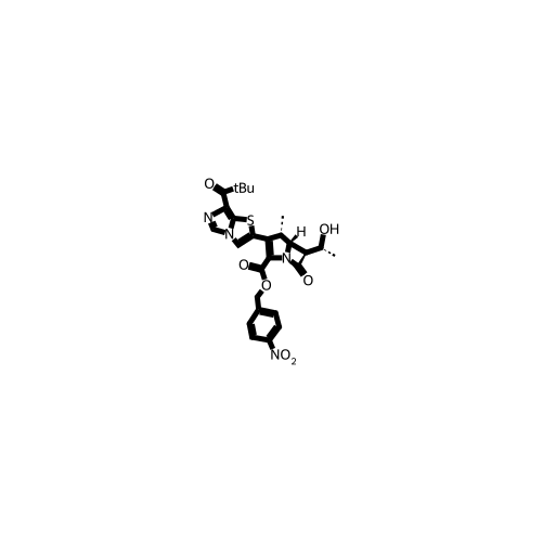 C[C@@H](O)[C@H]1C(=O)N2C(C(=O)OCc3ccc([N+](=O)[O-])cc3)=C(c3cn4cnc(C(=O)C(C)(C)C)c4s3)[C@H](C)[C@H]12